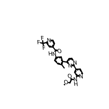 COCC(=O)Nc1cc(-c2nccc(-c3cc(NC(=O)c4ccnc(C(F)(F)F)c4)ccc3C)n2)ccn1